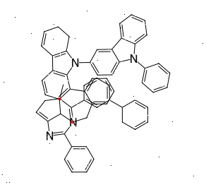 CC1C/C=C(C2CCc3ccccc3-c3c2ccc2c4c(n(-c5ccc6c(c5)c5ccccc5n6-c5ccccc5)c32)CCC=C4)/N=C(c2ccccc2)\N=C/1c1cccc(C2C=CC=CC2)c1